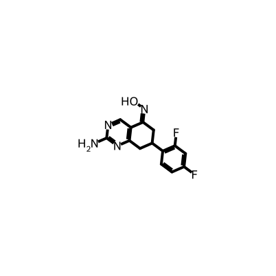 Nc1ncc2c(n1)CC(c1ccc(F)cc1F)C/C2=N/O